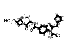 CCC(C)C[C@H](NC(=O)c1ccc2c(c1)nc(Cc1cccs1)n2C(CC)CC)C(=O)N1CC(C(=O)O)C1